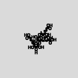 C[C@H](O[C@H]1OC(CSCCC(=O)O)[C@@H](O[C@H]2OC(CSCCC(=O)O)[C@@H](O)C(O)[C@@H]2O)[C@H](O)C1O)C(CSCCC(=O)O)OCC(O)O